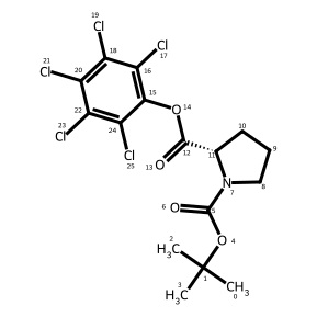 CC(C)(C)OC(=O)N1CCC[C@H]1C(=O)Oc1c(Cl)c(Cl)c(Cl)c(Cl)c1Cl